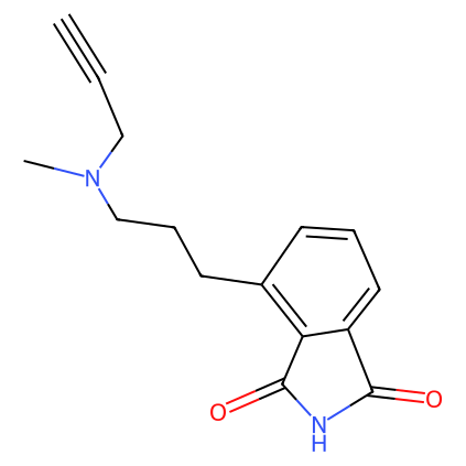 C#CCN(C)CCCc1cccc2c1C(=O)NC2=O